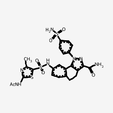 CC(=O)Nc1nc(C)c(S(=O)(=O)Nc2ccc3c(c2)-c2c(c(C(N)=O)nn2-c2ccc(S(N)(=O)=O)cc2)CC3)s1